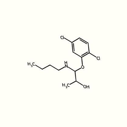 CCCCNC(Oc1cc(Cl)ccc1Cl)C(C)O